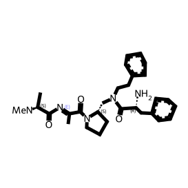 CN[C@@H](C)C(=O)/N=C(\C)C(=O)N1CCC[C@H]1CN(CCc1ccccc1)C(=O)[C@H](N)Cc1ccccc1